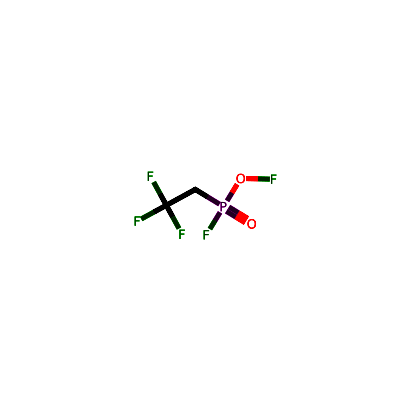 O=P(F)(CC(F)(F)F)OF